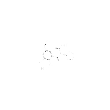 COc1c(O)cc(C=O)cc1C(=O)C(C(=O)O)N1CCCC1